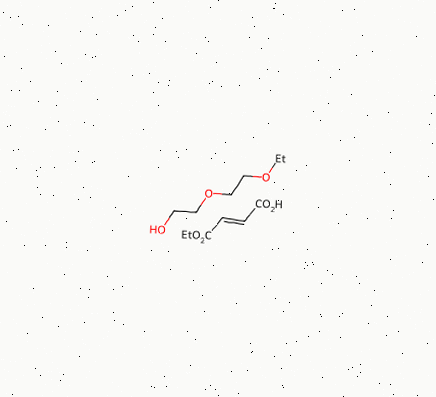 CCOC(=O)/C=C/C(=O)O.CCOCCOCCO